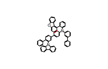 c1ccc(-c2cccc(N(c3ccc(-c4ccc(-c5ccccc5)c(-n5c6ccccc6c6ccccc65)c4)cc3)c3ccccc3-c3cccc4oc5ccccc5c34)c2)cc1